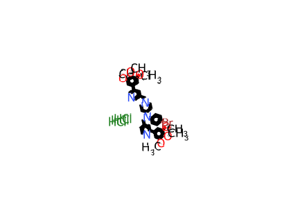 COc1cc(-c2cncc(CN3CCC(N(Cc4ccnc(-c5cc(OC)c(OC)c(OC)c5)c4)c4ccc(Br)cc4)CC3)c2)cc(OC)c1OC.Cl.Cl.Cl